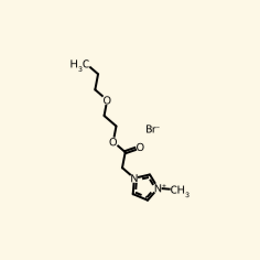 CCCOCCOC(=O)Cn1cc[n+](C)c1.[Br-]